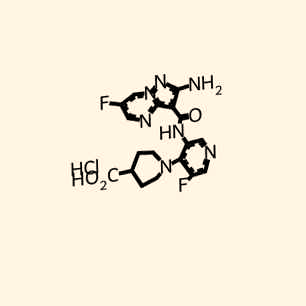 Cl.Nc1nn2cc(F)cnc2c1C(=O)Nc1cncc(F)c1N1CCC(C(=O)O)CC1